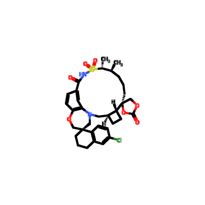 C[C@@H]1[C@@H](C)CCC[C@@]2(COC(=O)O2)[C@@H]2CC[C@H]2CN2C[C@@]3(CCCc4cc(Cl)ccc43)COc3ccc(cc32)C(=O)NS1(=O)=O